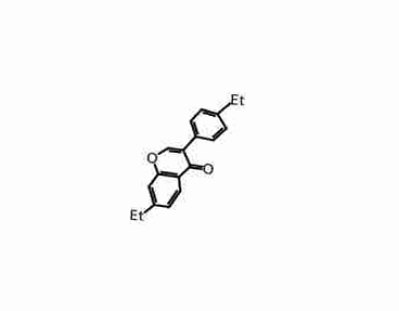 CCc1ccc(-c2coc3cc(CC)ccc3c2=O)cc1